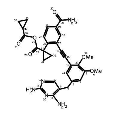 COc1cc(Cc2cnc(N)nc2N)cc(C#Cc2cc(C(N)=O)ccc2C2(C(=O)OC(=O)C3CC3)CC2)c1OC